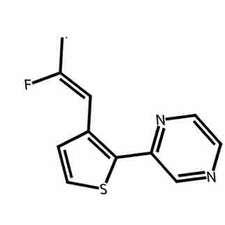 [CH2]/C(F)=C/c1ccsc1-c1cnccn1